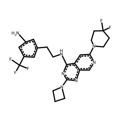 Nc1cc(CCNc2nc(N3CCC3)nc3cnc(N4CCC(F)(F)CC4)cc23)cc(C(F)(F)F)c1